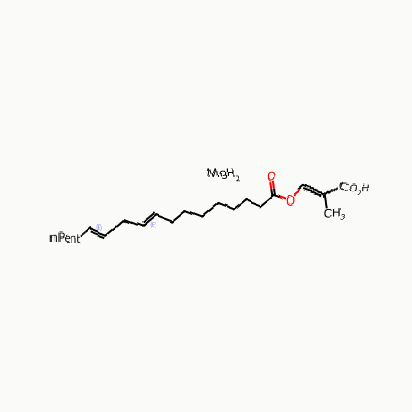 CCCCC/C=C/C/C=C/CCCCCCCC(=O)OC=C(C)C(=O)O.[MgH2]